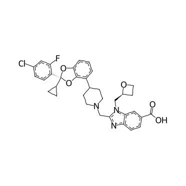 O=C(O)c1ccc2nc(CN3CCC(c4cccc5c4O[C@@](c4ccc(Cl)cc4F)(C4CC4)O5)CC3)n(C[C@@H]3CCO3)c2c1